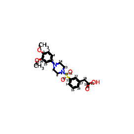 COc1ccc(N2CCN(S(=O)(=O)c3cccc(CC(=O)O)c3)CC2)cc1OC